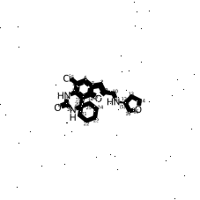 O=C1Nc2c(Cl)cc3cc(CN[C@H]4CCOC4)oc3c2C2(CCCCC2)N1